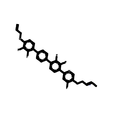 C=CCOc1ccc(-c2ccc(-c3ccc(-c4cc(F)c(CC/C=C/C)cn4)c(F)c3F)cc2)c(F)c1F